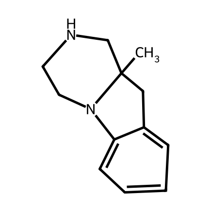 CC12CNCCN1c1ccccc1C2